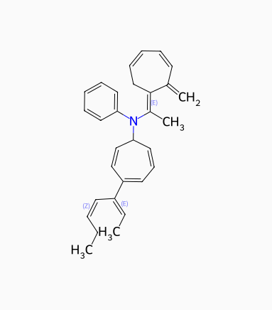 C=C1C=CC=CC/C1=C(/C)N(c1ccccc1)C1C=CC=C(C(/C=C\CC)=C/C)C=C1